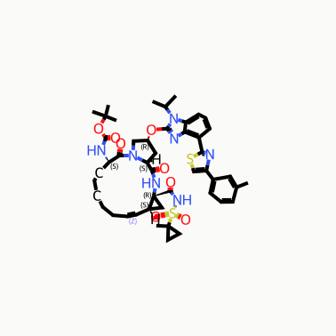 Cc1cccc(-c2csc(-c3cccc4c3nc(O[C@@H]3C[C@H]5C(=O)N[C@]6(C(=O)NS(=O)(=O)C7(C)CC7)C[C@H]6/C=C\CCCCC[C@H](NC(=O)OC(C)(C)C)C(=O)N5C3)n4C(C)C)n2)c1